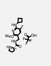 COc1nc(NC2CCC2)c(F)cc1CNC(=O)[C@@H]1CCCN1.O=C(O)C(F)(F)F